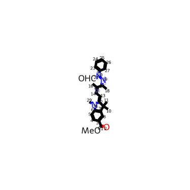 COC(=O)c1ccc2c(c1)C(C)(C)C(=C/C=C(C)\C(C)=N/N(C=O)c1ccccc1)N2C